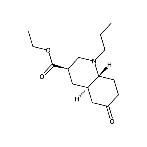 CCCN1C[C@H](C(=O)OCC)C[C@@H]2CC(=O)CC[C@H]21